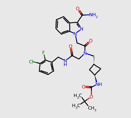 CC(C)(C)OC(=O)N[C@H]1C[C@H](CN(CC(=O)NCc2cccc(Cl)c2F)C(=O)Cn2nc(C(N)=O)c3ccccc32)C1